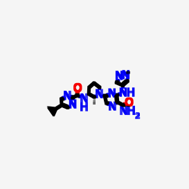 C[C@@H]1[C@H](NC(=O)c2ncc(C3CC3)cn2)CCCN1c1cnc(C(N)=O)c(Nc2cnn(C)c2)n1